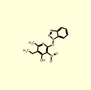 CCc1c(C)nc(On2nnc3ccccc32)c([N+](=O)[O-])c1O